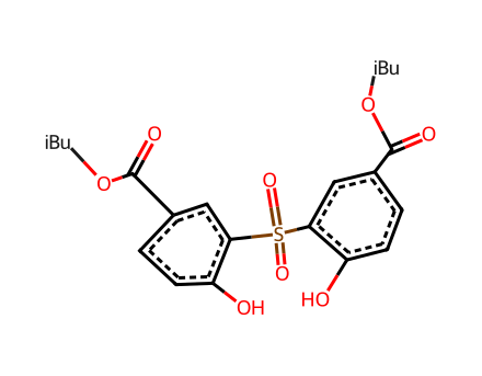 CCC(C)OC(=O)c1ccc(O)c(S(=O)(=O)c2cc(C(=O)OC(C)CC)ccc2O)c1